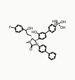 CN1C(=O)N(c2ccc(-c3ccccc3)cc2)[C@H](c2ccc(-c3ccc([PH](O)(O)O)cc3)cc2O)[C@H]1CCC(O)c1ccc(F)cc1